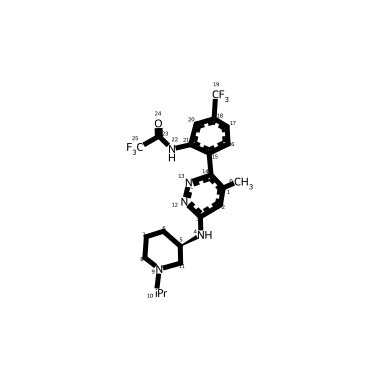 Cc1cc(N[C@@H]2CCCN(C(C)C)C2)nnc1-c1ccc(C(F)(F)F)cc1NC(=O)C(F)(F)F